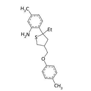 CCC1(c2ccc(C)cc2N)CC(COc2ccc(C)cc2)CS1